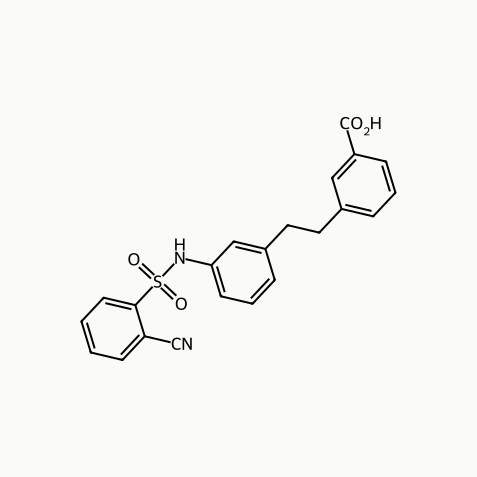 N#Cc1ccccc1S(=O)(=O)Nc1cccc(CCc2cccc(C(=O)O)c2)c1